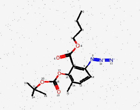 CCCCOC(=O)c1c(N=[N+]=[N-])ccc(C)c1OC(=O)OC(C)(C)C